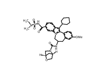 COc1ccc2c(c1)CC(NC(=O)N1C[C@@H]3C[C@H]1CO3)Cn1c-2c(C2CCCCC2)c2ccc(C(=O)NS(=O)(=O)N(C)C)cc21